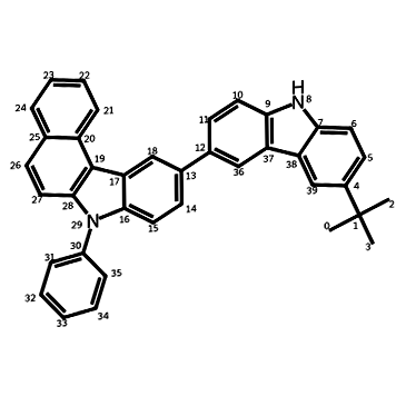 CC(C)(C)c1ccc2[nH]c3ccc(-c4ccc5c(c4)c4c6ccccc6ccc4n5-c4ccccc4)cc3c2c1